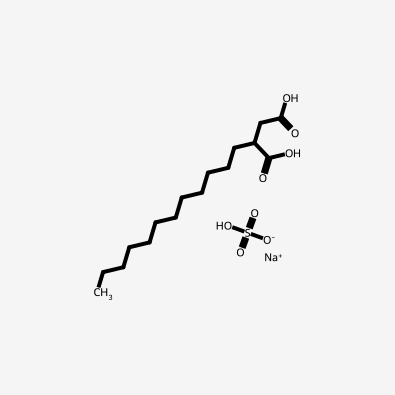 CCCCCCCCCCCCC(CC(=O)O)C(=O)O.O=S(=O)([O-])O.[Na+]